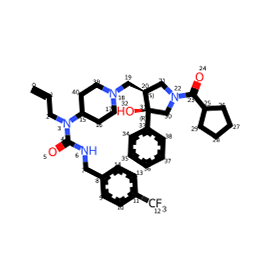 C=CCN(C(=O)NCc1ccc(C(F)(F)F)cc1)C1CCN(C[C@H]2CN(C(=O)C3CCCC3)C[C@]2(O)c2ccccc2)CC1